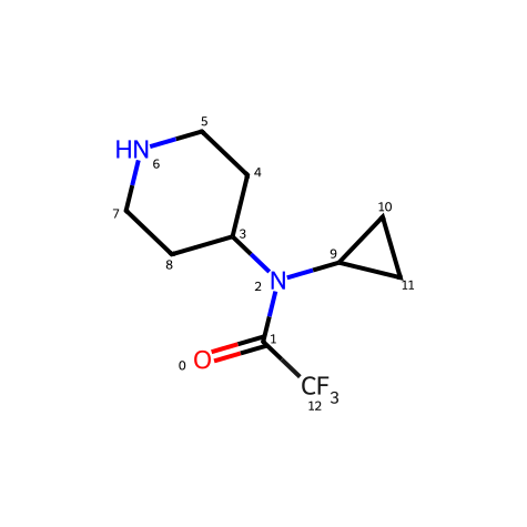 O=C(N(C1CCNCC1)C1CC1)C(F)(F)F